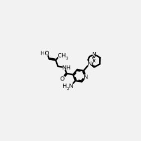 C/C(=C\O)CNC(=O)c1cc(N2CCN3CCC2CC3)ncc1N